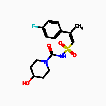 CC(=CS(=O)(=O)NC(=O)N1CCC(O)CC1)c1ccc(F)cc1